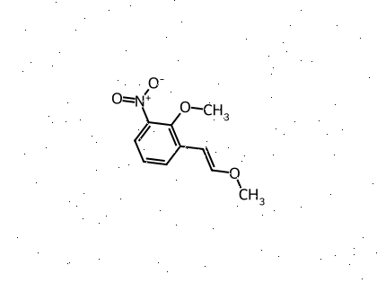 COC=Cc1cccc([N+](=O)[O-])c1OC